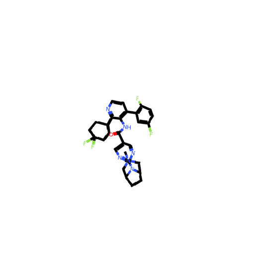 CN1CC2CCC(C1)N2c1ncc(C(=O)Nc2c(-c3cc(F)ccc3F)ccnc2C2CCC(F)(F)CC2)cn1